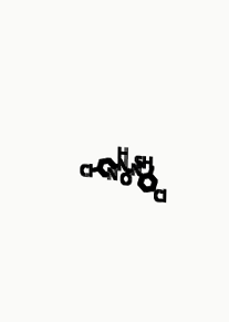 Cc1cc(Cl)ccc1N(S)C(=O)Nc1ccc(Cl)cn1